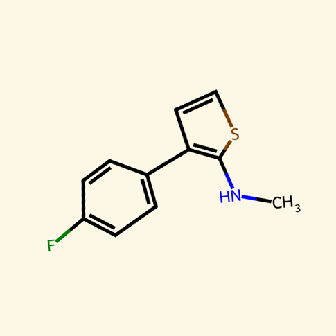 CNc1sccc1-c1ccc(F)cc1